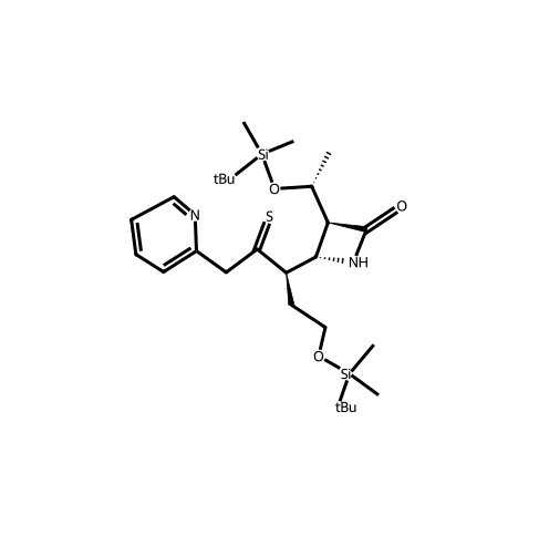 C[C@@H](O[Si](C)(C)C(C)(C)C)[C@H]1C(=O)N[C@@H]1[C@@H](CCO[Si](C)(C)C(C)(C)C)C(=S)Cc1ccccn1